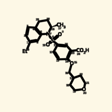 CCc1ccc2c(c1)N(S(=O)(=O)c1ccc(OCC3CCOCC3)c(C(=O)O)c1)[C@@H](C)CC2